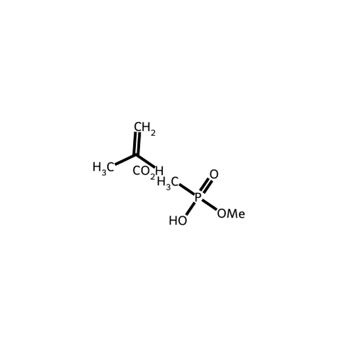 C=C(C)C(=O)O.COP(C)(=O)O